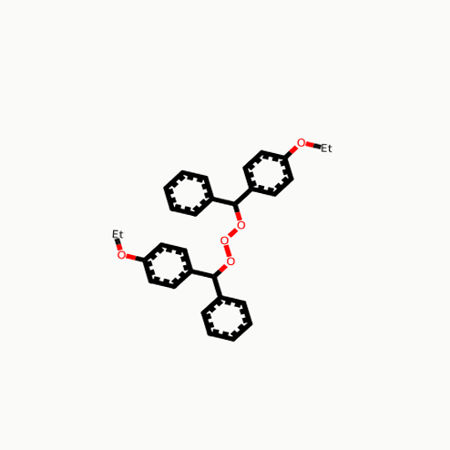 CCOc1ccc(C(OOOC(c2ccccc2)c2ccc(OCC)cc2)c2ccccc2)cc1